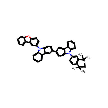 CC1(C)CCC(C)(C)c2cc(-n3c4ccccc4c4cc(-c5ccc6c(c5)c5ccccc5n6-c5ccc6oc7ccccc7c6c5)ccc43)ccc21